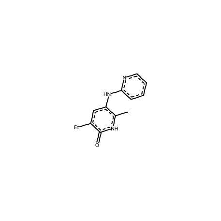 CCc1cc(Nc2ccccn2)c(C)[nH]c1=O